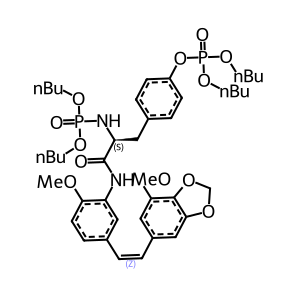 CCCCOP(=O)(N[C@@H](Cc1ccc(OP(=O)(OCCCC)OCCCC)cc1)C(=O)Nc1cc(/C=C\c2cc(OC)c3c(c2)OCO3)ccc1OC)OCCCC